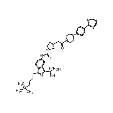 C[Si](C)(C)CCOCn1nc(C(=N)NO)c2cc(NC(=O)[C@@H]3CCN(CC(=O)N4CCN(c5ccc(-c6ncccn6)cc5)CC4)C3)ccc21